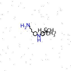 CC(C)(C)c1ccc(NC2CCC(CCCCN)CC2)cc1